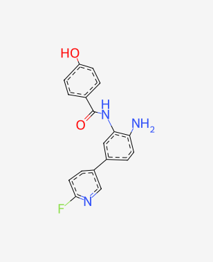 Nc1ccc(-c2ccc(F)nc2)cc1NC(=O)c1ccc(O)cc1